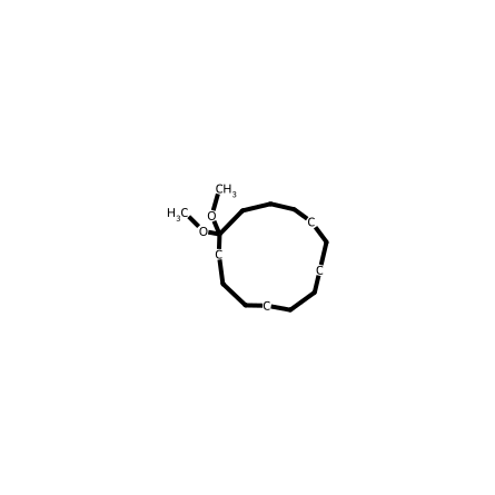 COC1(OC)CCCCCCCCCCCC1